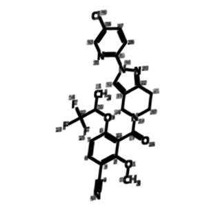 COc1c(C#N)ccc(OC(C)C(F)(F)F)c1C(=O)N1CCc2nn(-c3ccc(Cl)cn3)cc2C1